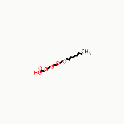 CCCCCCCCCOCCOCCOCCOCC(=O)O